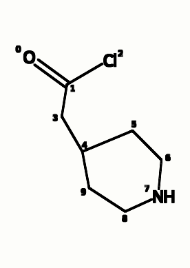 O=C(Cl)CC1CCNCC1